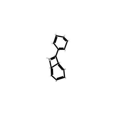 c1ccc(C2=Nc3ccccc32)cc1